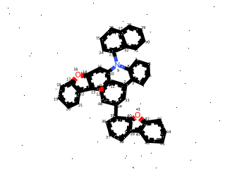 c1cc(-c2ccccc2N(c2ccc3c(c2)oc2ccccc23)c2cccc3ccccc23)cc(-c2cccc3c2oc2ccccc23)c1